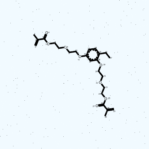 C=C(C)C(=O)OCCOCCOc1ccc(CC)c(OCCOCCOC(=O)C(=C)C)c1